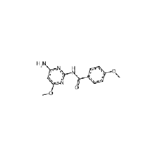 COc1ccc(C(=O)Nc2nc(N)cc(OC)n2)cc1